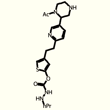 CCCNNC(=O)Oc1cc(CCc2ccc(C3CNCCN3C(C)=O)cn2)cs1